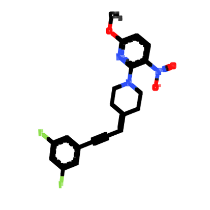 COc1ccc([N+](=O)[O-])c(N2CCC(=CC#Cc3cc(F)cc(F)c3)CC2)n1